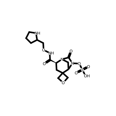 O=C(NOCC1CCCN1)[C@@H]1CC2(COC2)C2CN1C(=O)N2OS(=O)(=O)O